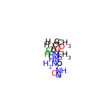 CC(C)(C)C(=O)OCC(C)(NC(=S)Nc1cccc(CNC(=O)N2CCC2)c1N)c1cccc(C(F)(F)F)c1